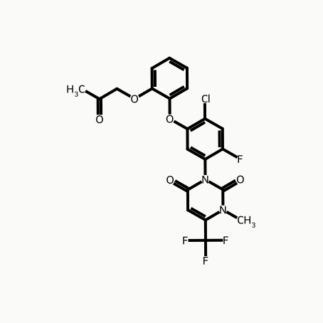 CC(=O)COc1ccccc1Oc1cc(-n2c(=O)cc(C(F)(F)F)n(C)c2=O)c(F)cc1Cl